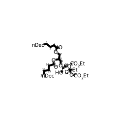 CCCCCCCCCCCCCC(=O)OCC(COP(=O)(O)OC(CC)(OC(=O)OCC)OC(=O)OCC)OC(=O)CCCCCCCCCCCCC